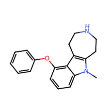 Cn1c2c(c3c(Oc4ccccc4)cccc31)CCNCC2